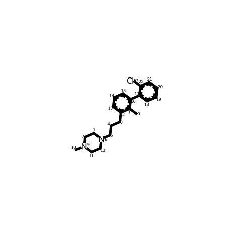 Cc1c(CCCN2CCN(C)CC2)cccc1-c1ccccc1Cl